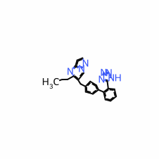 CCCc1nc2ccnn2cc1Cc1ccc(-c2ccccc2-c2nnn[nH]2)cc1